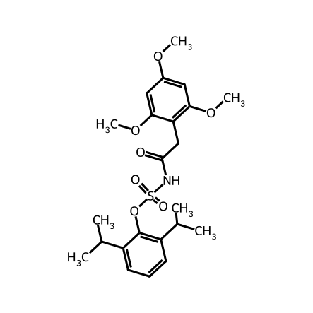 COc1cc(OC)c(CC(=O)NS(=O)(=O)Oc2c(C(C)C)cccc2C(C)C)c(OC)c1